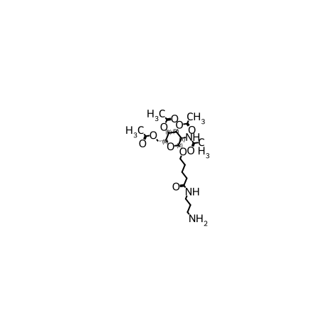 CC(=O)N[C@H]1[C@H](OCCCCC(=O)NCCCN)O[C@H](COC(C)=O)[C@H](OC(C)=O)[C@@H]1OC(C)=O